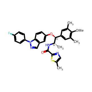 COc1c(C)cc([C@H](Oc2ccc3c(cnn3-c3ccc(F)cc3)c2)[C@H](C)NC(=O)c2ncc(C)s2)cc1C